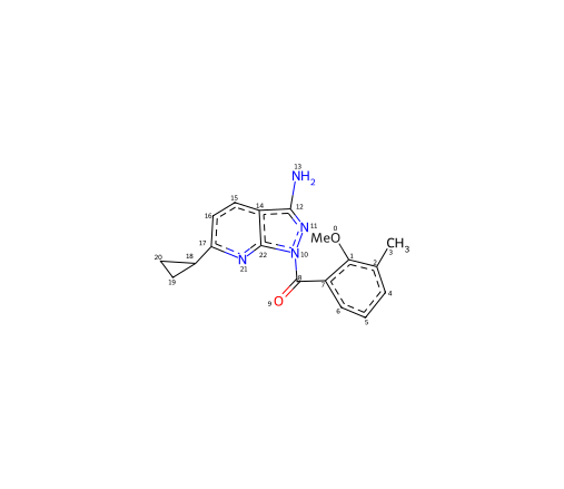 COc1c(C)cccc1C(=O)n1nc(N)c2ccc(C3CC3)nc21